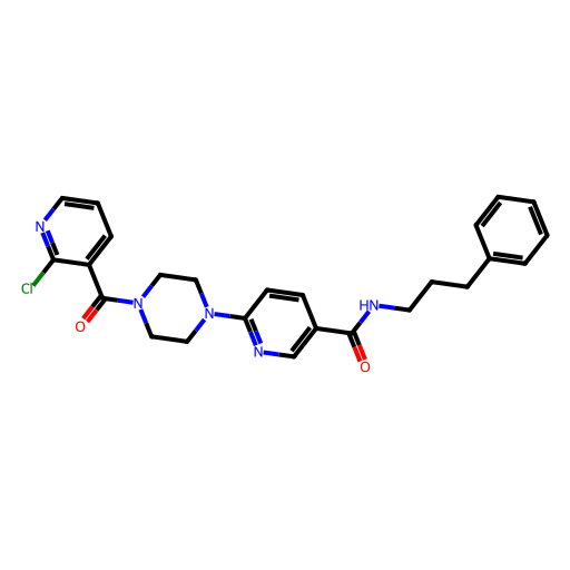 O=C(NCCCc1ccccc1)c1ccc(N2CCN(C(=O)c3cccnc3Cl)CC2)nc1